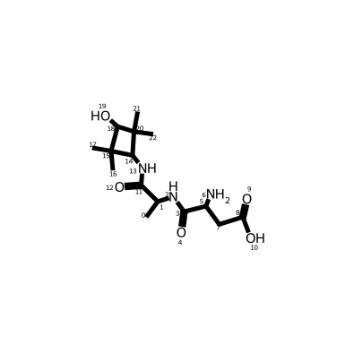 CC(NC(=O)C(N)CC(=O)O)C(=O)NC1C(C)(C)C(O)C1(C)C